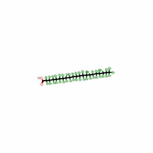 O=C(O)C(Br)(Br)C(Br)(Br)C(Br)(Br)C(Br)(Br)C(Br)(Br)C(Br)(Br)C(Br)(Br)C(Br)(Br)C(Br)(Br)C(Br)(Br)C(Br)(Br)C(Br)(Br)C(Br)(Br)C(Br)(Br)C(Br)(Br)C(Br)(Br)C(Br)(Br)C(Br)(Br)C(Br)(Br)C(Br)(Br)Br